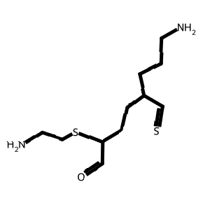 NCCCC(C=S)CCC(C=O)SCCN